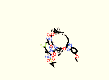 CCOc1ccc2nc3c(nc2c1)O[C@H]1CN(C(=O)[C@H](C(C)(C)C)NC(=O)O[C@@H]2C[C@H]2CCCCC3)[C@H](C(=O)N[C@]2(C(=O)NS(=O)(=O)C3(C)CC3)CC2C(F)F)[C@@H]1CC